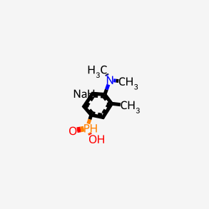 Cc1cc([PH](=O)O)ccc1N(C)C.[NaH]